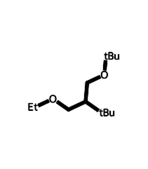 CCOCC(COC(C)(C)C)C(C)(C)C